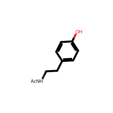 CC(=O)N[CH]Cc1ccc(O)cc1